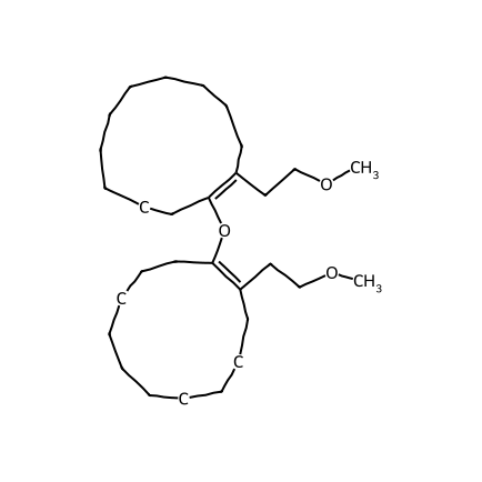 COCCC1=C(OC2=C(CCOC)CCCCCCCCCC2)CCCCCCCCCC1